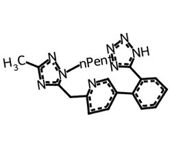 CCCCCn1nc(C)nc1Cc1ccc(-c2ccccc2-c2nnn[nH]2)cn1